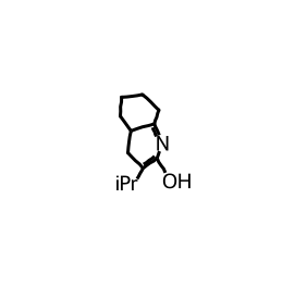 CC(C)C1=C(O)N=C2CCCCC2C1